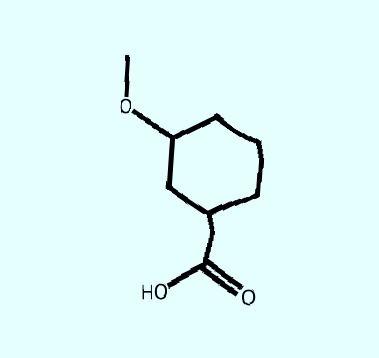 COC1CCCC(C(=O)O)C1